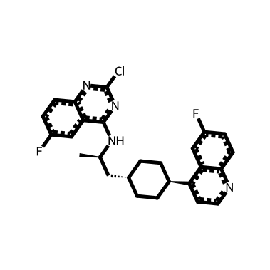 C[C@H](C[C@H]1CC[C@H](c2ccnc3ccc(F)cc32)CC1)Nc1nc(Cl)nc2ccc(F)cc12